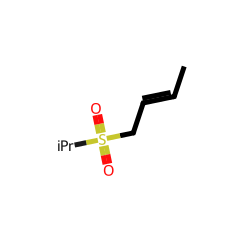 CC=CCS(=O)(=O)C(C)C